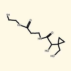 O=C(CCNC(=O)C(O)C1(CO)CC1)NCCS